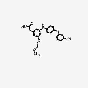 COCCOc1cc(CC(=O)O)cc(Pc2ccc(Oc3cccc(O)c3)cc2)c1